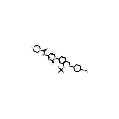 NC1CCC(NCc2ccc(-n3ccc(NC(=O)N4CCNCC4)nc3=O)cc2OC(F)(F)F)CC1